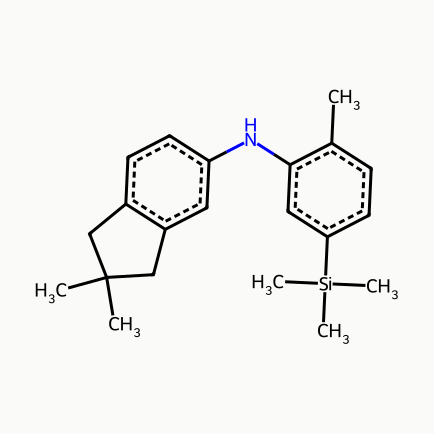 Cc1ccc([Si](C)(C)C)cc1Nc1ccc2c(c1)CC(C)(C)C2